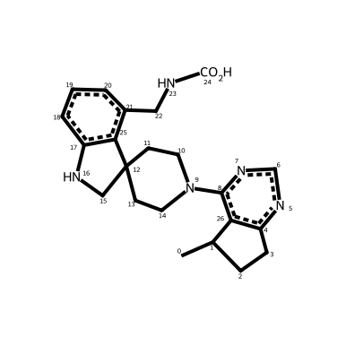 CC1CCc2ncnc(N3CCC4(CC3)CNc3cccc(CNC(=O)O)c34)c21